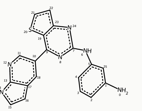 Nc1cccc(Nc2nc(-c3cnc4[nH]ccc4c3)c3sccc3n2)c1